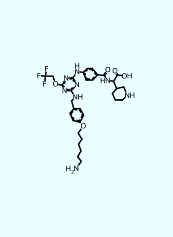 NCCCCCCOc1ccc(CNc2nc(Nc3ccc(C(=O)NC(C(=O)O)C4CCCNC4)cc3)nc(OCC(F)(F)F)n2)cc1